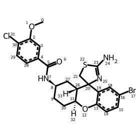 COc1cc(C(=O)N[C@@H]2CC[C@@H]3Oc4ccc(Br)cc4C4(CSC(N)=N4)[C@H]3C2)ccc1Cl